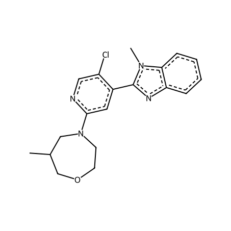 CC1COCCN(c2cc(-c3nc4ccccc4n3C)c(Cl)cn2)C1